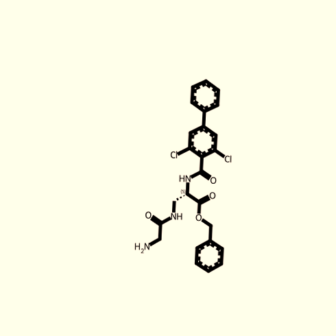 NCC(=O)NC[C@H](NC(=O)c1c(Cl)cc(-c2ccccc2)cc1Cl)C(=O)OCc1ccccc1